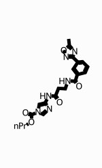 CCCOC(=O)n1cnc(NC(=O)CCNC(=O)c2cccc(-c3noc(C)n3)c2)c1